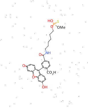 COP(O)(=S)OCCCCCCNC(=O)c1ccc(C(=O)O)c(-c2c3ccc(=O)cc-3oc3cc(O)ccc23)c1